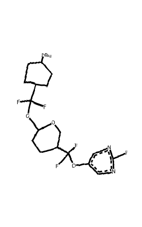 CCCCC1CCC(C(F)(F)OC2CCC(C(F)(F)Oc3cnc(F)nc3)CO2)CC1